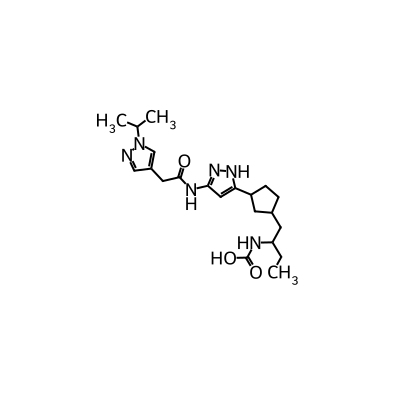 CCC(CC1CCC(c2cc(NC(=O)Cc3cnn(C(C)C)c3)n[nH]2)C1)NC(=O)O